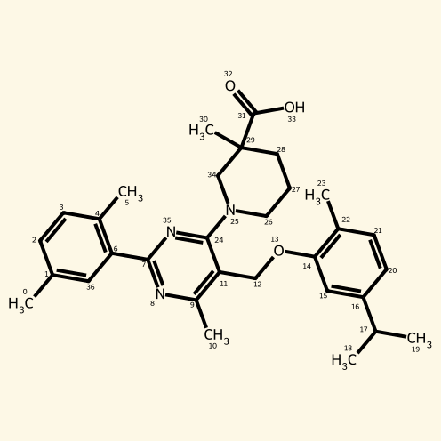 Cc1ccc(C)c(-c2nc(C)c(COc3cc(C(C)C)ccc3C)c(N3CCCC(C)(C(=O)O)C3)n2)c1